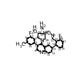 Cc1cc(F)cc(-c2cnc3ccc(-c4cccc(F)c4/C=N/O)cc3c2N2CC[C@@H](N)[C@@H](O)C2)c1